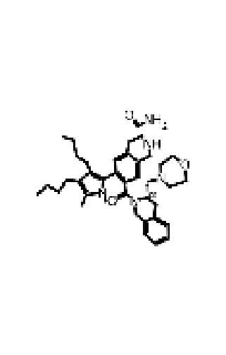 CCCCc1c(CCCC)c(-c2cc3c(cc2C(=O)N2Cc4ccccc4C[C@H]2CN2CCOCC2)CNCC3)n(C)c1C.NC=O